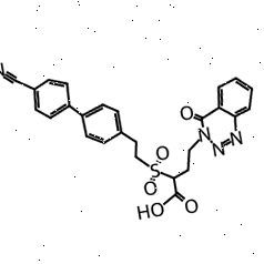 N#Cc1ccc(-c2ccc(CCS(=O)(=O)C(CCn3nnc4ccccc4c3=O)C(=O)O)cc2)cc1